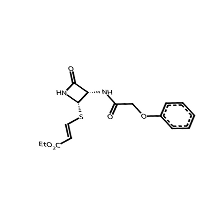 CCOC(=O)C=CS[C@@H]1NC(=O)[C@@H]1NC(=O)COc1ccccc1